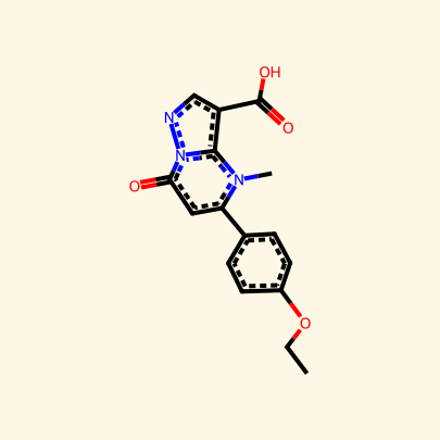 CCOc1ccc(-c2cc(=O)n3ncc(C(=O)O)c3n2C)cc1